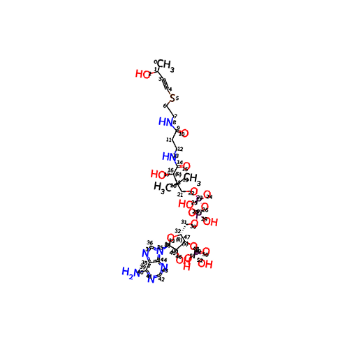 CC(O)C#CSCCNC(=O)CCNC(=O)[C@H](O)C(C)(C)COP(=O)(O)OP(=O)(O)OC[C@H]1O[C@H](n2cnc3c(N)ncnc32)[C@H](O)[C@@H]1OP(=O)(O)O